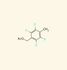 [CH2]c1c(F)c(F)c(COC(C)=O)c(F)c1F